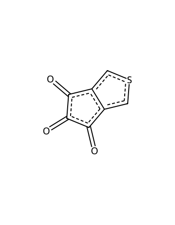 O=c1c(=O)c2cscc2c1=O